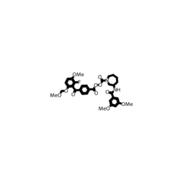 COCOc1ccc(OC)c(F)c1C(=O)c1ccc(C(=O)OOC(=O)N2CCCCC(NC(=O)c3cc(OC)cc(OC)c3)C2)cc1